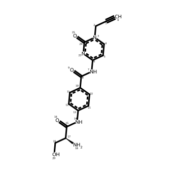 C#CCn1ccc(NC(=O)c2ccc(NC(=O)[C@@H](N)CO)cc2)nc1=O